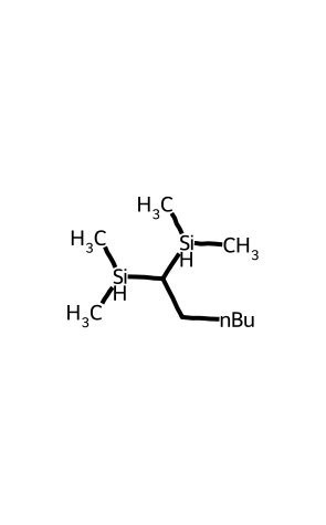 CCCCCC([SiH](C)C)[SiH](C)C